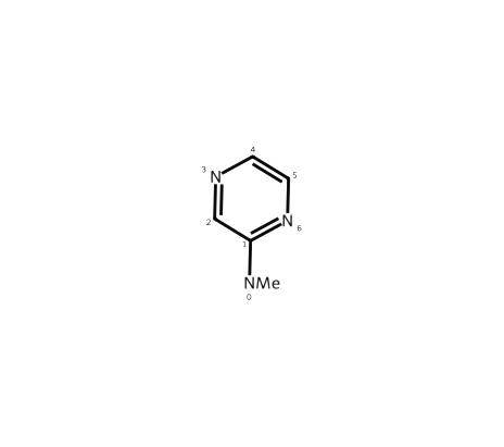 CNc1cnccn1